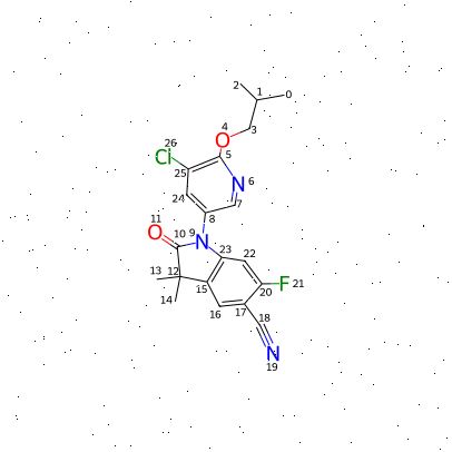 CC(C)COc1ncc(N2C(=O)C(C)(C)c3cc(C#N)c(F)cc32)cc1Cl